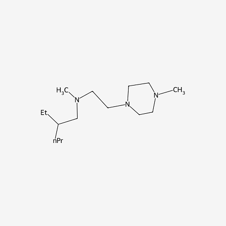 CCCC(CC)CN(C)CCN1CCN(C)CC1